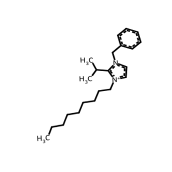 CCCCCCCCC[n+]1ccn(Cc2ccccc2)c1C(C)C